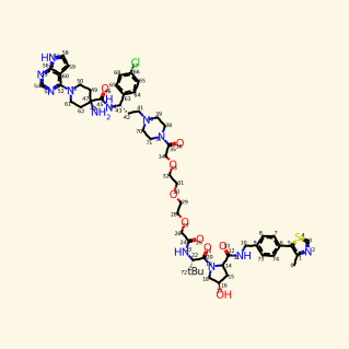 Cc1ncsc1-c1ccc(CNC(=O)C2C[C@@H](O)CN2C(=O)[C@@H](NC(=O)COCCOCCOCC(=O)N2CCN(CC[C@H](NC(=O)C3(N)CCN(c4ncnc5[nH]ccc45)CC3)c3ccc(Cl)cc3)CC2)C(C)(C)C)cc1